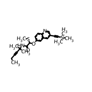 CCC#CC(C)(C)NC(=O)C(Oc1ccc2ncc(C#C[Si](C)(C)C)cc2c1)SC